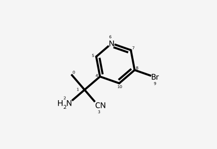 CC(N)(C#N)c1cncc(Br)c1